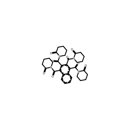 O=C1CCCCN1C(=O)c1c(C(=O)N2CCCCC2=O)c(C(=O)N2CCCCC2=O)c2ccccc2c1C(=O)N1CCCCC1=O